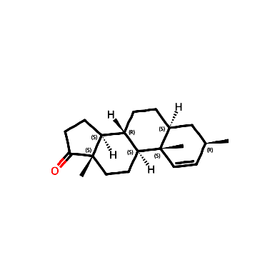 C[C@H]1C=C[C@@]2(C)[C@@H](CC[C@@H]3[C@@H]2CC[C@]2(C)C(=O)CC[C@@H]32)C1